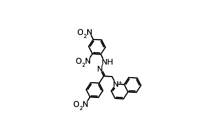 O=[N+]([O-])c1ccc(/C(C[n+]2cccc3ccccc32)=N/Nc2ccc([N+](=O)[O-])cc2[N+](=O)[O-])cc1